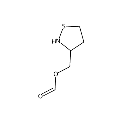 O=COCC1CCSN1